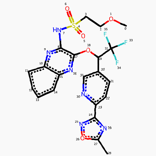 COCCS(=O)(=O)Nc1nc2ccccc2nc1OC(c1ccc(-c2noc(C)n2)nc1)C(F)(F)F